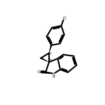 O=C1Nc2ccccc2[C@]12C[C@H]2c1ccc(Cl)cc1